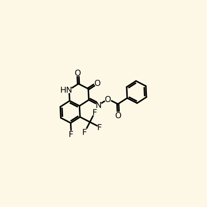 O=C1Nc2ccc(F)c(C(F)(F)F)c2C(=NOC(=O)c2ccccc2)C1=O